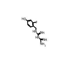 N=C(N)NC(=N)NCc1ccc(O)cc1F